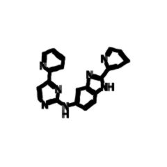 c1ccc(-c2ccnc(Nc3ccc4[nH]c(-c5ccccn5)nc4c3)n2)nc1